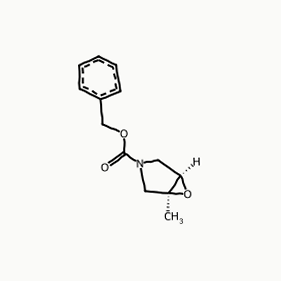 C[C@]12CN(C(=O)OCc3ccccc3)C[C@H]1O2